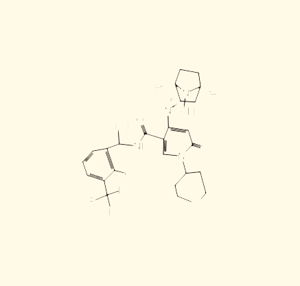 Cc1c(C(C)NC(=O)c2cn(C3CCOCC3)c(=O)cc2N[C@@H]2C[C@@H]3CC[C@H]2N3C)cccc1C(F)(F)F